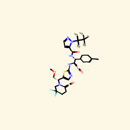 [2H]C([2H])([2H])C([2H])([2H])n1nccc1C(=O)N[C@H](C(=C=O)Nc1ncc([C@@H](COC)N2CC(F)(F)CCC2=C=O)s1)C1CCC(C)CC1